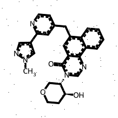 Cn1cc(-c2cc(Cc3cc4c(=O)n([C@H]5COCC[C@@H]5O)cnc4c4ccccc34)ccn2)cn1